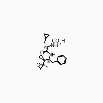 C[C@]1(C(=O)[C@H](Cc2ccccc2)NC(=O)[C@H](CC2CC2)NC(=O)O)CO1